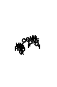 CC(C)(C)OC(=O)NS(=O)(=O)NCc1cccc(Oc2cc(F)cc(Nc3ccc(I)cc3F)c2N)c1